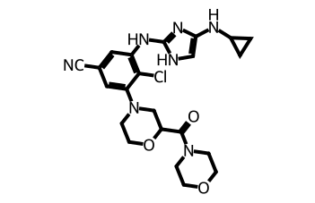 N#Cc1cc(Nc2nc(NC3CC3)c[nH]2)c(Cl)c(N2CCOC(C(=O)N3CCOCC3)C2)c1